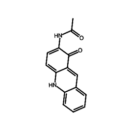 CC(=O)Nc1ccc2[nH]c3ccccc3cc-2c1=O